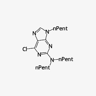 CCCCCN(CCCCC)c1nc(Cl)c2ncn(CCCCC)c2n1